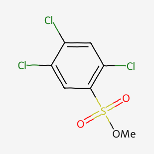 COS(=O)(=O)c1cc(Cl)c(Cl)cc1Cl